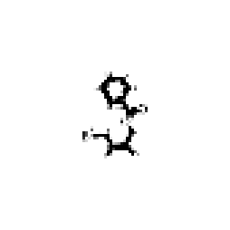 CC(CBr)=C(C)COC(=O)c1ccccc1